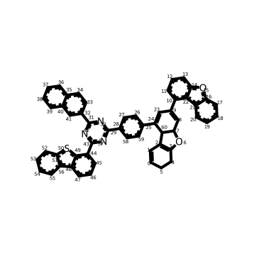 C1=CC2=C(CC1)OC1C=C(c3cccc4oc5ccccc5c34)C=C(c3ccc(-c4nc(-c5ccc6ccccc6c5)nc(-c5cccc6c5sc5ccccc56)n4)cc3)C21